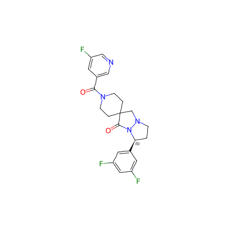 O=C(c1cncc(F)c1)N1CCC2(CC1)CN1CC[C@@H](c3cc(F)cc(F)c3)N1C2=O